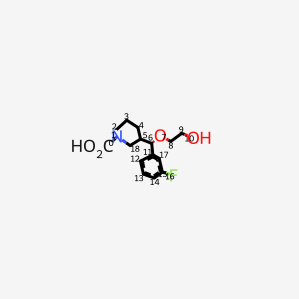 O=C(O)N1CCCC([C@@H](OCCO)c2cccc(F)c2)C1